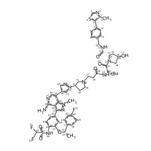 Cc1ncsc1-c1ccc(CNC(=O)[C@@H]2C[C@@H](O)CN2C(=O)[C@@H](NC(=O)CCN2CCC(n3cc(-c4cnc(N)c5c(-c6ccc(NS(=O)(=O)C(F)F)c(O[C@@H](C)c7ccc(F)cc7)c6)nn(C)c45)cn3)C2)C(C)(C)C)cc1